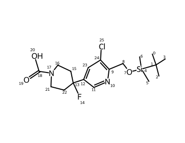 CC(C)(C)[Si](C)(C)OCc1ncc(C2(F)CCN(C(=O)O)CC2)cc1Cl